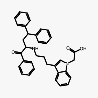 O=C(O)Cn1cc(CCCNC(CC(c2ccccc2)c2ccccc2)C(=O)c2ccccc2)c2ccccc21